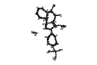 Cc1c(Br)c2ccccc2[n+]2nn(-c3ccc(C(F)(F)F)cc3)c(O)c12.[OH-]